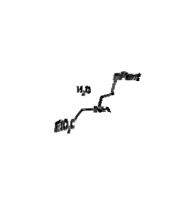 CCCCCCCNCC(=O)OCC.O